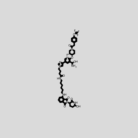 NC(O)c1cc(-c2cn(CCCC(=O)NCCCCCCNc3cccc4c3C(=O)N(C3CCC(O)NC3=O)C4=O)cn2)cnc1O[C@@H]1CCN(C(=O)Cc2ccc(OC(F)(F)F)cc2)C[C@H]1F